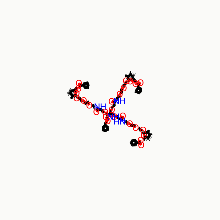 CC1[C@@H](OCCOCCOCCNC(=O)CCOCC(COCCC(=O)NCCOCCOCCO[C@H]2OC(COC(=O)c3ccccc3)[C@@H](C)[C@H](C)C2C)(COCCC(=O)NCCOCCOCCO[C@H]2OC(COC(=O)c3ccccc3)[C@@H](C)[C@H](C)C2C)NC(=O)OCc2ccccc2)OC(COC(=O)c2ccccc2)[C@@H](C)[C@@H]1C